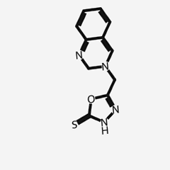 S=c1[nH]nc(CN2C=c3ccccc3=NC2)o1